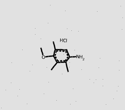 COc1c(C)cc(N)c(C)c1C.Cl